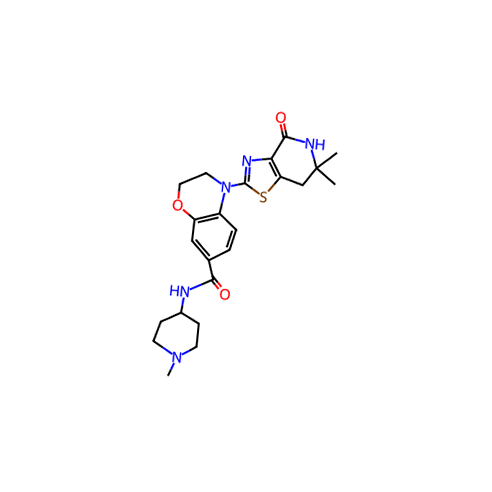 CN1CCC(NC(=O)c2ccc3c(c2)OCCN3c2nc3c(s2)CC(C)(C)NC3=O)CC1